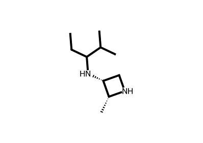 CCC(N[C@@H]1CN[C@@H]1C)C(C)C